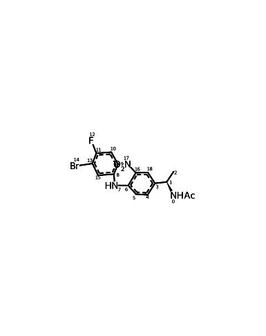 CC(=O)N[C@H](C)c1ccc(Nc2ccc(F)c(Br)c2)c([N+](=O)[O-])c1